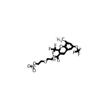 Cc1cc(OC(F)(F)F)cc2c1OC(C(F)(F)F)C(C(=O)NCCOCCO[N+](=O)[O-])=C2